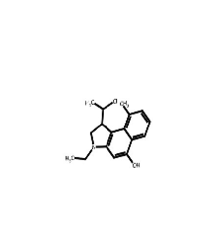 CCN1CC(C(C)Cl)c2c1cc(O)c1cccc(C)c21